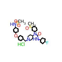 C[S+]([O-])c1cccc(N(C(=O)Nc2ccc(F)cc2)C2CCN(Cc3ccc(Oc4ccc(NS(C)(=O)=O)cc4)cc3)CC2)c1.Cl